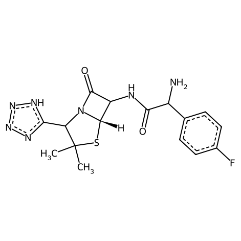 CC1(C)S[C@H]2C(NC(=O)C(N)c3ccc(F)cc3)C(=O)N2C1c1nnn[nH]1